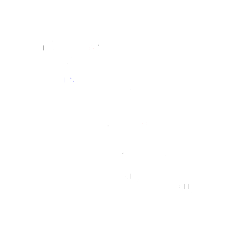 C=C/C=C(\C=C)Oc1ccc(NC(C)=O)cc1